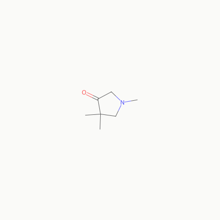 CN1CC(=O)C(C)(C)C1